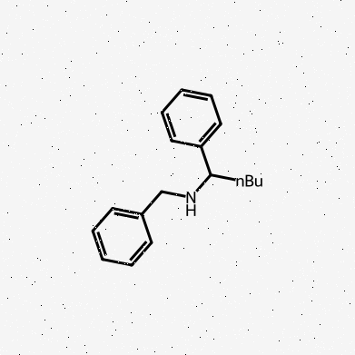 CCCCC(NCc1ccccc1)c1ccccc1